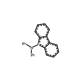 CC(C)N(C(C)C)p1c2ccccc2c2ccccc21